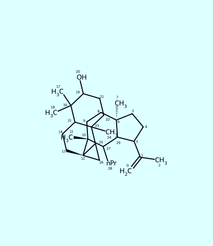 C=C(C)C1CC[C@]2(C)CC[C@@](C)([C@]34CCC5C(C)(C)C(O)CCC5(C)C3C4)C(CCC)C12